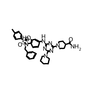 Cc1ccc(S(=O)(=O)N(Cc2ccccc2)c2ccc(Nc3nc(N4CCCCC4)nc(N4CCC(C(N)=O)CC4)n3)cc2O)cc1